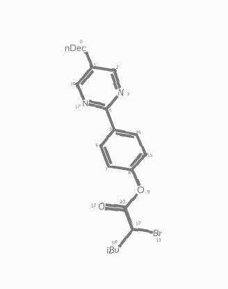 CCCCCCCCCCc1cnc(-c2ccc(OC(=O)C(Br)C(C)CC)cc2)nc1